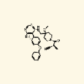 C=C(C#N)C(=O)N1CCC(CNc2ncnc(N)c2-c2ccc(Oc3ccccc3)cc2)(OC)CC1